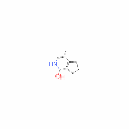 CC1=CNC(O)C2=C1CCC2